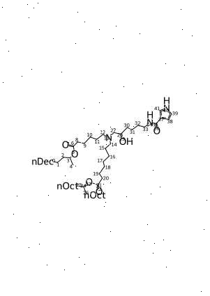 CCCCCCCCCCCCC(C)OC(=O)CCCCCN(CCCCCCCC(=O)OC(CCCCCCCC)CCCCCCCC)CC(O)CCCCNC(=O)c1cc[nH]c1